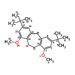 COc1cc(C(C)(C)C)cc2c1CCc1c(cc(C(C)(C)C)cc1OC)C2